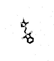 O=C1c2ccccc2C(=O)N1CCn1cnc(I)c1I